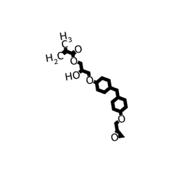 C=C(C)C(=O)OCC(O)COC1CCC(CC2CCC(OCC3CO3)CC2)CC1